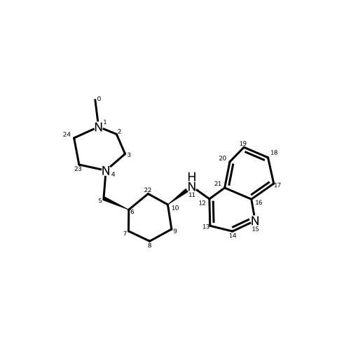 CN1CCN(C[C@@H]2CCC[C@H](Nc3ccnc4ccccc34)C2)CC1